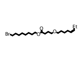 CC/C=C\CCCCOCCCC(=O)OCCCCCCCCBr